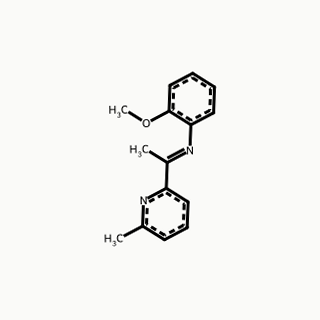 COc1ccccc1N=C(C)c1cccc(C)n1